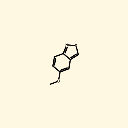 COc1ccc2nscc2c1